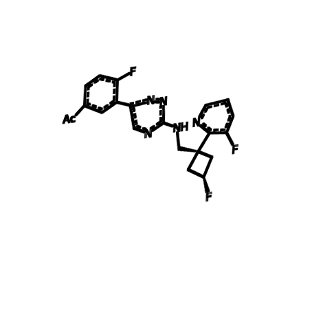 CC(=O)c1ccc(F)c(-c2cnc(NC[C@]3(c4ncccc4F)C[C@H](F)C3)nn2)c1